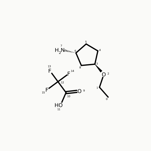 CCO[C@@H]1CC[C@@H](N)C1.O=C(O)C(F)(F)F